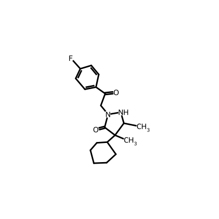 CC1NN(CC(=O)c2ccc(F)cc2)C(=O)C1(C)C1CCCCC1